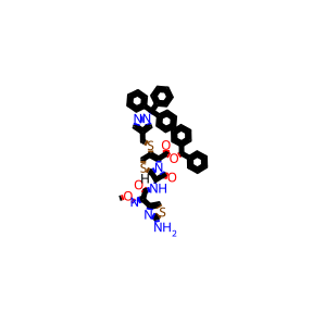 CO/N=C(\C(=O)N[C@@H]1C(=O)N2C(C(=O)OC(c3ccccc3)c3ccccc3)=C(SCc3cnn(C(c4ccccc4)(c4ccccc4)c4ccccc4)c3)CS[C@@H]12)c1csc(N)n1